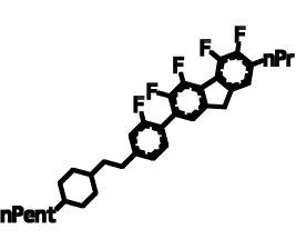 CCCCCC1CCC(CCc2ccc(-c3cc4c(c(F)c3F)-c3c(cc(CCC)c(F)c3F)C4)c(F)c2)CC1